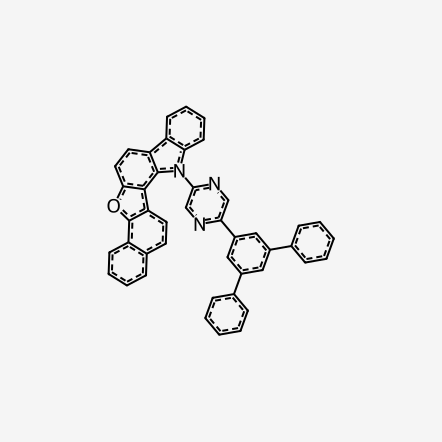 c1ccc(-c2cc(-c3ccccc3)cc(-c3cnc(-n4c5ccccc5c5ccc6oc7c8ccccc8ccc7c6c54)cn3)c2)cc1